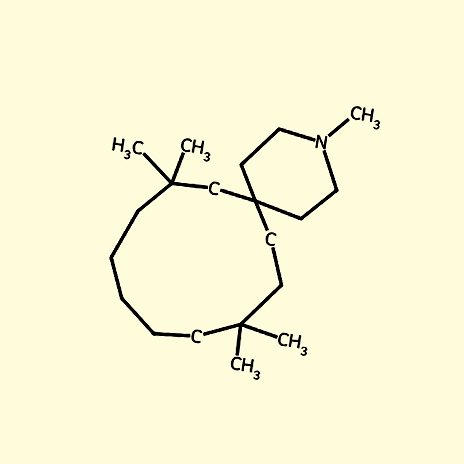 CN1CCC2(CC1)CCC(C)(C)CCCCCC(C)(C)C2